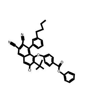 CCCCc1cccc(-c2c(C#N)c(C#N)cc3cc(Cl)c(C(C)(C)C)c(Oc4ccc(C(=O)Oc5ccccc5)cc4)c23)c1